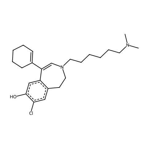 CN(C)CCCCCCN1C=C(C2=CCCCC2)c2cc(O)c(Cl)cc2CC1